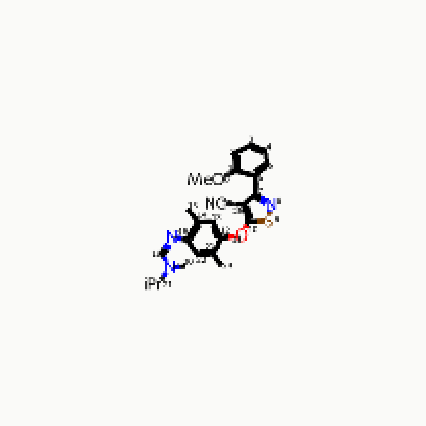 COc1ccccc1-c1nsc(Oc2cc(C)c(/N=C\N(C)C(C)C)cc2C)c1C#N